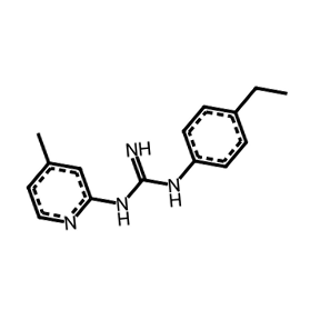 CCc1ccc(NC(=N)Nc2cc(C)ccn2)cc1